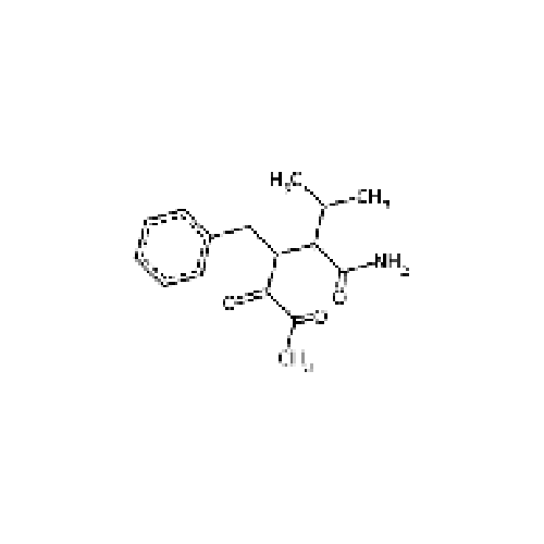 CC(=O)C(=O)C(Cc1ccccc1)[C](C(N)=O)C(C)C